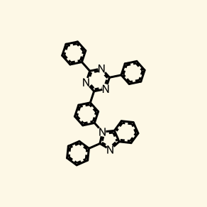 c1ccc(-c2nc(-c3ccccc3)nc(-c3cccc(-n4c(-c5ccccc5)nc5ccccc54)c3)n2)cc1